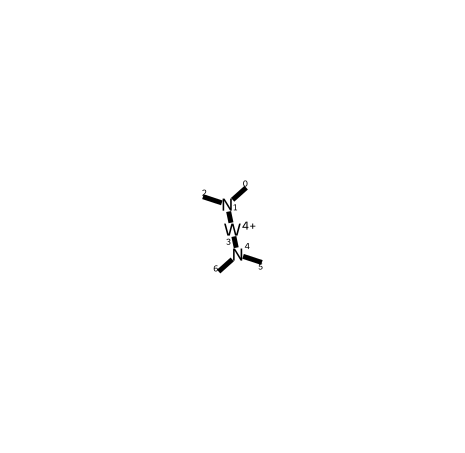 C[N](C)[W+4][N](C)C